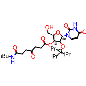 CCCCNC(=O)CCC(=O)CCC(=O)O[C@@H]1C(O[Si](C(C)C)(C(C)C)C(C)C)[C@H](n2ccc(=O)[nH]c2=O)O[C@@H]1CO